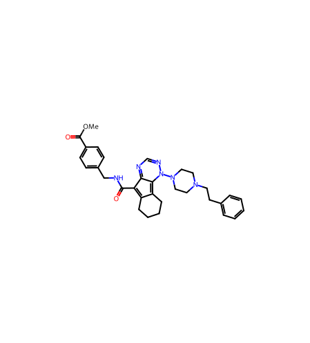 COC(=O)c1ccc(CNC(=O)c2c3ncnn(N4CCN(CCc5ccccc5)CC4)c-3c3c2CCCC3)cc1